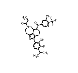 C=CC(=O)N1CCc2nn(-c3ccc(C(C)C)c(F)c3O)c3c2C(C1)N(C(=O)c1cnc(C(F)(F)F)c(O)c1)CC3